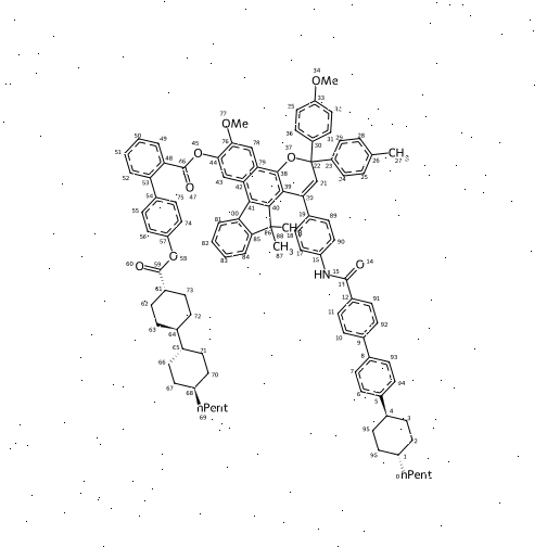 CCCCC[C@H]1CC[C@H](c2ccc(-c3ccc(C(=O)Nc4ccc(C5=CC(c6ccc(C)cc6)(c6ccc(OC)cc6)Oc6c5c5c(c7cc(OC(=O)c8ccccc8-c8ccc(OC(=O)[C@H]9CC[C@H]([C@H]%10CC[C@H](CCCCC)CC%10)CC9)cc8)c(OC)cc67)-c6ccccc6C5(C)C)cc4)cc3)cc2)CC1